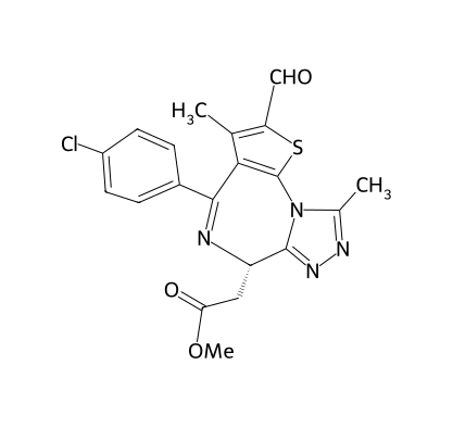 COC(=O)C[C@@H]1N=C(c2ccc(Cl)cc2)c2c(sc(C=O)c2C)-n2c(C)nnc21